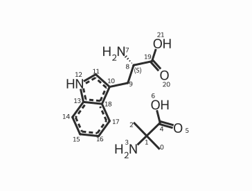 CC(C)(N)C(=O)O.N[C@@H](Cc1c[nH]c2ccccc12)C(=O)O